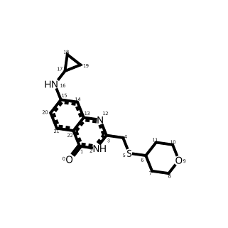 O=c1[nH]c(CSC2CCOCC2)nc2cc(NC3CC3)ccc12